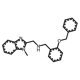 Cn1c(CNCc2ccccc2OCc2ccccc2)nc2ccccc21